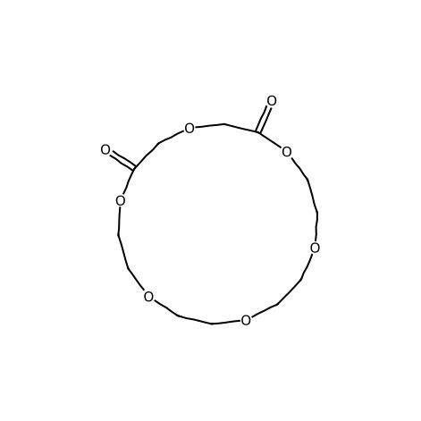 O=C1COCC(=O)OCCOCCOCCOCCO1